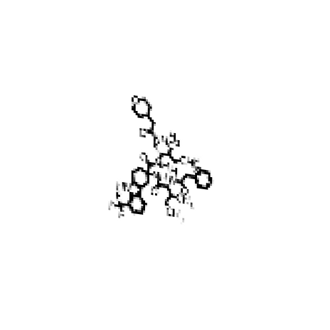 CCC(C)[C@H](NC(=O)Cc1ccccc1F)C(=O)N[C@]1(C(=O)N[C@H](CNC(=O)CC2CCOCC2)C(C)CC)CCc2[nH]c3c(C(F)(F)F)cccc3c2C1